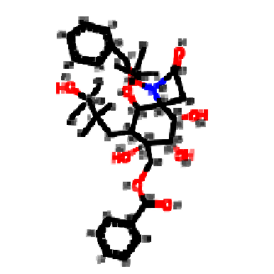 CC(C)(C[C@H]1[C@@H](O[Si](C)(C)C)[C@@]2(CC(=O)N2OCc2ccccc2)[C@H](O)[C@H](O)[C@@]1(O)COC(=O)c1ccccc1)[Si](C)(C)O